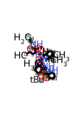 C#CCCC(NC(=O)[C@@H]1[C@H]2CCC(C)(C)[C@H]2CN1C(=O)[C@@H](NC(=O)NC1(CS(=O)(=O)C(C)(C)C)CCCCC1)C1(C)CCCCC1)C(=O)C(=O)NCC=C